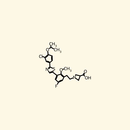 COc1c(CCN2CC(C(=O)O)C2)cc(F)cc1-c1cnc(-c2ccc(OC(C)C)c(Cl)c2)s1